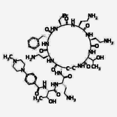 CC(C)C[C@@H]1NC(=O)[C@@H](Cc2ccccc2)NC(=O)[C@H](CCN)NC(=O)[C@@H](NC(=O)[C@H](CCN)NC(=O)[C@@H](NC(=O)c2ccc(N3CCN(C)CC3)cc2)C(C)O)CCNC(=O)C(C(C)O)NC(=O)[C@H](CCN)NC(=O)[C@H](CCN)NC1=O